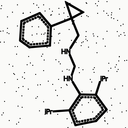 CC(C)c1cccc(C(C)C)c1NCNCC1(c2ccccc2)CC1